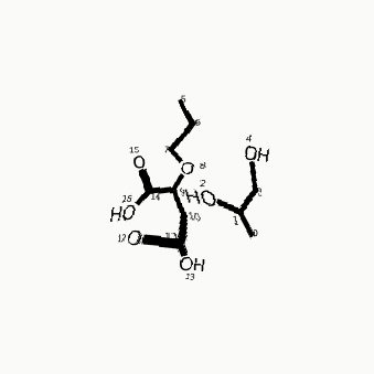 CC(O)CO.CCCOC(CC(=O)O)C(=O)O